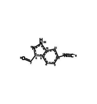 [C-]#[N+]c1ccc2c(C=O)n[nH]c2c1